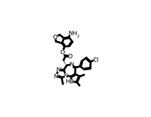 CC1=C(C)C2=C(B1)n1c(C)nnc1[C@H](CC(=O)Oc1ccc(N)c3c1COC3)N=C2c1ccc(Cl)cc1